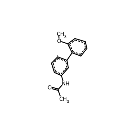 COc1ccccc1-c1[c]ccc(NC(C)=O)c1